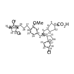 COc1cc(CN(CC2CCC(C(=O)O)CC2)C2CCc3cc(Cl)ccc32)ccc1CCCN1C(=O)CN(C)C1=O